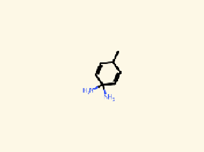 CC1C=CC(N)(N)C=C1